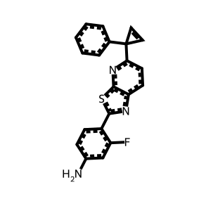 Nc1ccc(-c2nc3ccc(C4(c5ccccc5)C=C4)nc3s2)c(F)c1